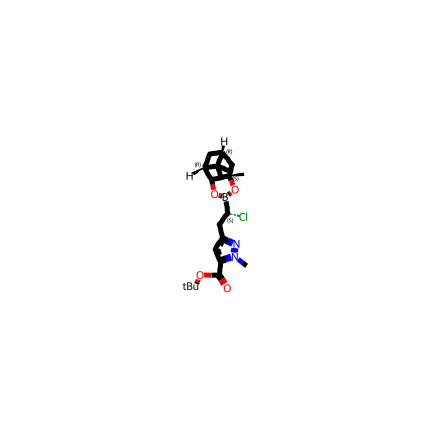 Cn1nc(C[C@@H](Cl)B2OC3[C@@H]4C[C@H](C[C@]3(C)O2)C4(C)C)cc1C(=O)OC(C)(C)C